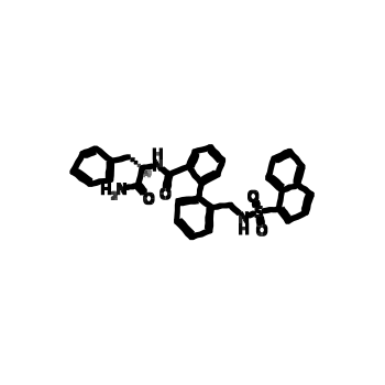 NC(=O)[C@H](Cc1ccccc1)NC(=O)c1ccccc1-c1ccccc1CNS(=O)(=O)c1cccc2ccccc12